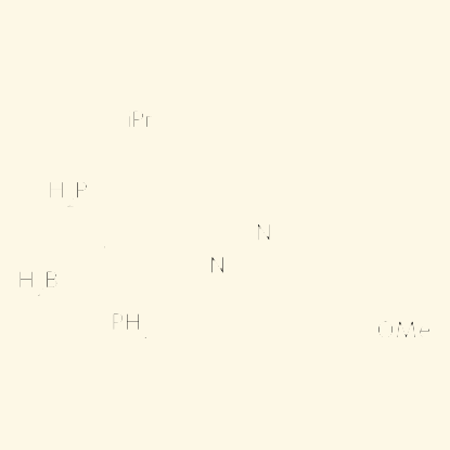 BC(P)(P)c1nn(CCOC)cc1C(C)C